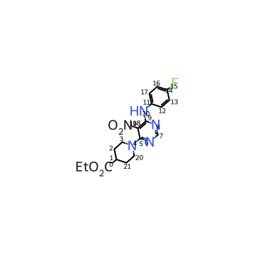 CCOC(=O)C1CCN(c2ncnc(Nc3ccc(F)cc3)c2[N+](=O)[O-])CC1